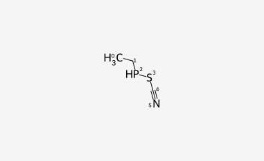 CCPSC#N